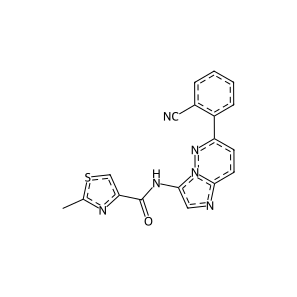 Cc1nc(C(=O)Nc2cnc3ccc(-c4ccccc4C#N)nn23)cs1